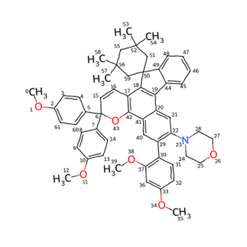 COc1ccc(C2(c3ccc(OC)cc3)C=Cc3c4c(c5cc(N6CCOCC6)c(-c6ccc(OC)cc6OC)cc5c3O2)-c2ccccc2C42CC(C)(C)CC(C)(C)C2)cc1